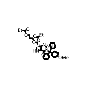 CCC(=O)OCCCOC(OC(=O)CC)N1CNc2c1nc(N)n(C(c1ccccc1)(c1ccccc1)c1ccc(OC)cc1)c2=O